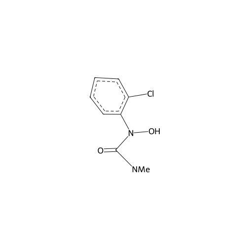 CNC(=O)N(O)c1ccccc1Cl